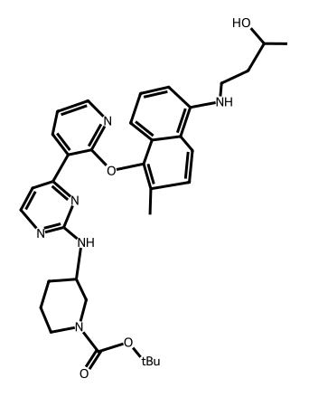 Cc1ccc2c(NCCC(C)O)cccc2c1Oc1ncccc1-c1ccnc(NC2CCCN(C(=O)OC(C)(C)C)C2)n1